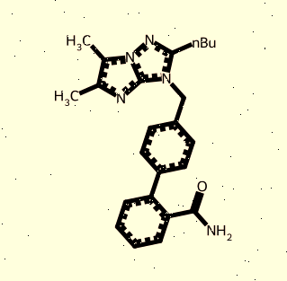 CCCCc1nn2c(C)c(C)nc2n1Cc1ccc(-c2ccccc2C(N)=O)cc1